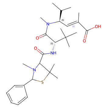 C/C(=C\[C@H](C(C)C)N(C)C(=O)[C@@H](NC(=O)C1N(C)C(c2ccccc2)SC1(C)C)C(C)(C)C)C(=O)O